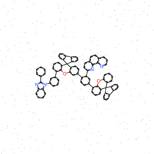 c1ccc(-c2nc3ccccc3n2-c2cccc(-c3cccc4c3Oc3cc(-c5ccc(-c6cccc7c6Oc6ccccc6C76c7ccccc7-c7ccccc76)cc5-c5ccc6ccc7cccnc7c6n5)ccc3C43c4ccccc4-c4ccccc43)c2)cc1